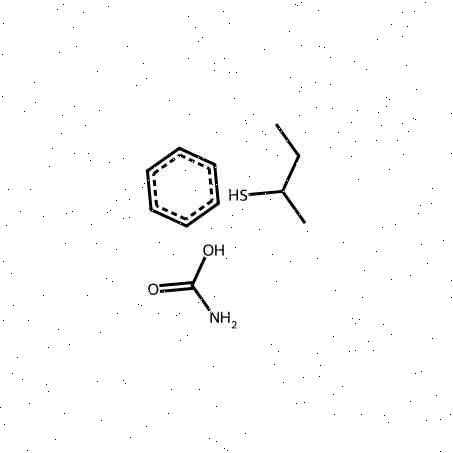 CCC(C)S.NC(=O)O.c1ccccc1